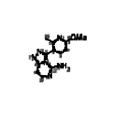 COc1ccc(-c2nnc3ccnc(N)n23)c(C)n1